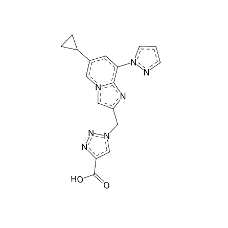 O=C(O)c1cn(Cc2cn3cc(C4CC4)cc(-n4cccn4)c3n2)nn1